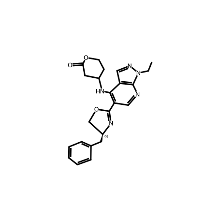 CCn1ncc2c(NC3CCOC(=O)C3)c(C3=N[C@@H](Cc4ccccc4)CO3)cnc21